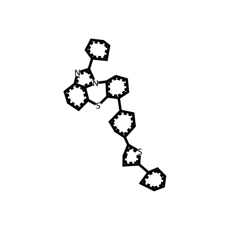 c1ccc(-c2ccc(-c3ccc(-c4cccc5c4Sc4cccc6nc(-c7ccccc7)n-5c46)cc3)s2)cc1